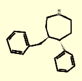 c1ccc(C[C@H]2CCNCC[C@@H]2c2ccccc2)cc1